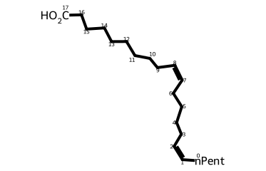 CCCCC/C=C\CCCC/C=C\CCCCCCCCC(=O)O